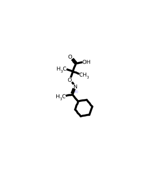 C/C(=N\OC(C)(C)C(=O)O)C1CCCCC1